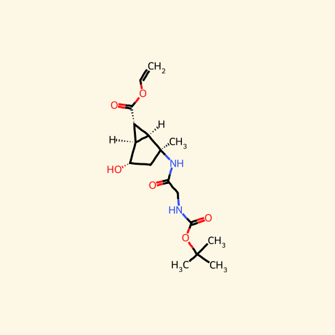 C=COC(=O)[C@H]1[C@H]2[C@@H]1[C@@](C)(NC(=O)CNC(=O)OC(C)(C)C)C[C@@H]2O